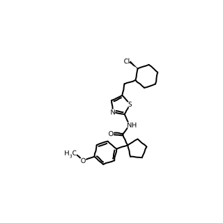 COc1ccc(C2(C(=O)Nc3ncc(CC4CCCC[C@@H]4Cl)s3)CCCC2)cc1